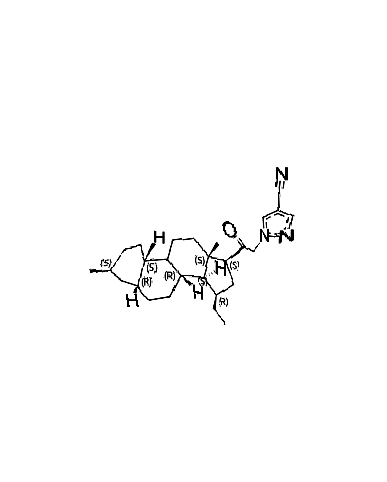 CC[C@@H]1C[C@H](C(=O)Cn2cc(C#N)cn2)[C@@]2(C)CCC3[C@H]4CC[C@H](C)C[C@H]4CC[C@H]3[C@H]12